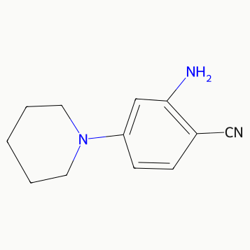 N#Cc1ccc(N2CCCCC2)cc1N